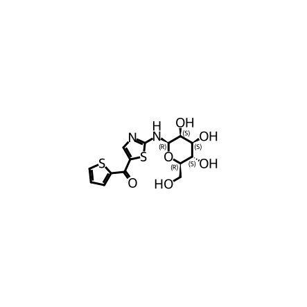 O=C(c1cccs1)c1cnc(N[C@@H]2O[C@H](CO)[C@@H](O)[C@H](O)[C@@H]2O)s1